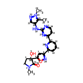 CN1CC[C@@](O)(c2cc(-c3cccc(-c4ccnc(Nc5cnn(C)c5C(F)(F)F)n4)n3)no2)C1=O